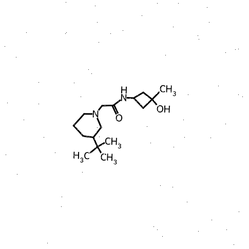 CC1(O)CC(NC(=O)CN2CCCC(C(C)(C)C)C2)C1